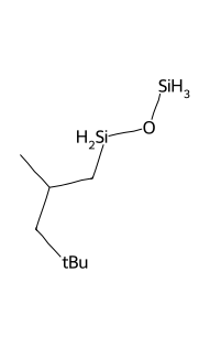 CC(C[SiH2]O[SiH3])CC(C)(C)C